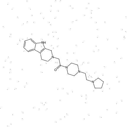 O=C(CN1CCc2c([nH]c3ccccc23)C1)N1CCN(CCN2CCCC2)CC1